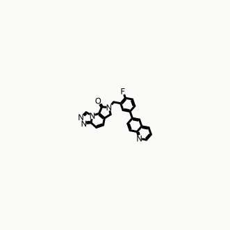 O=C1c2c(ccc3nncn23)CN1Cc1cc(-c2ccc3ncccc3c2)ccc1F